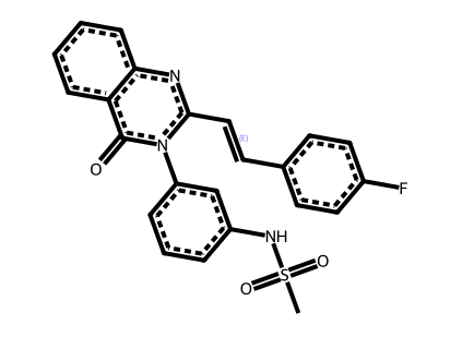 CS(=O)(=O)Nc1cccc(-n2c(/C=C/c3ccc(F)cc3)nc3ccccc3c2=O)c1